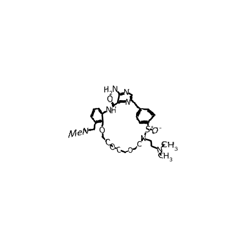 CNCc1cccc2c1OCCOCCOCCN(CCN(C)C)[S+]([O-])c1ccc(cc1)-c1cnc(N)c(n1)C(=O)N2